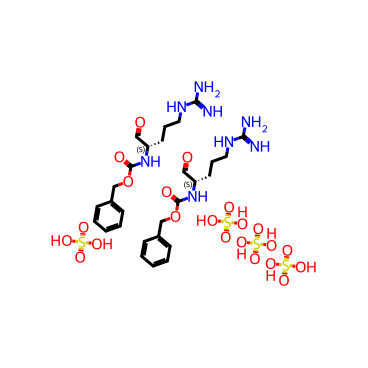 N=C(N)NCCC[C@@H](C=O)NC(=O)OCc1ccccc1.N=C(N)NCCC[C@@H](C=O)NC(=O)OCc1ccccc1.O=S(=O)(O)O.O=S(=O)(O)O.O=S(=O)(O)O.O=S(=O)(O)O